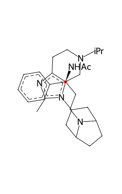 CC(=O)N[C@@H](CCN1C2CCC1CC(n1c(C)nc3c1CN(C(C)C)CC3)C2)c1ccccc1